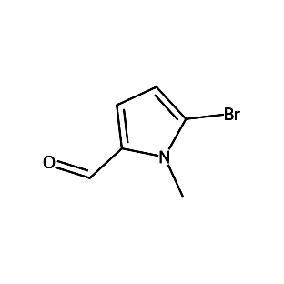 Cn1c(Br)ccc1C=O